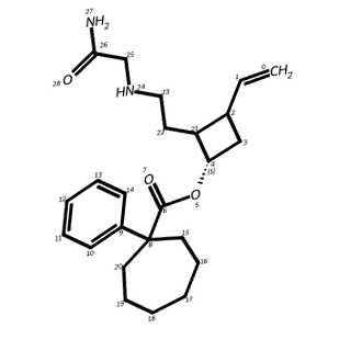 C=CC1C[C@H](OC(=O)C2(c3ccccc3)CCCCCC2)C1CCNCC(N)=O